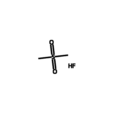 CS(C)(=O)=O.F